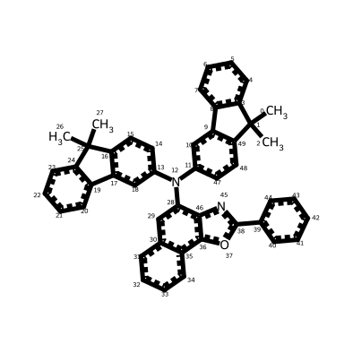 CC1(C)c2ccccc2-c2cc(N(c3ccc4c(c3)-c3ccccc3C4(C)C)c3cc4ccccc4c4oc(-c5ccccc5)nc34)ccc21